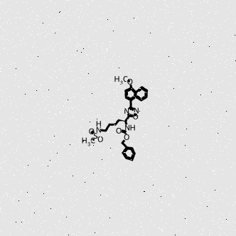 COc1ccc(-c2noc([C@H](CCCCNS(C)(=O)=O)NC(=O)OCc3ccccc3)n2)c2ccccc12